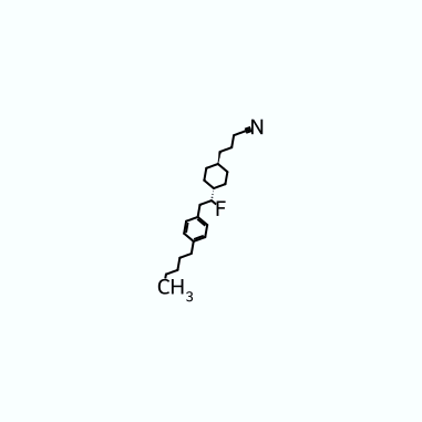 CCCCCc1ccc(CC(F)[C@H]2CC[C@H](CCCC#N)CC2)cc1